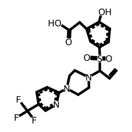 C=CC(N1CCN(c2ccc(C(F)(F)F)cn2)CC1)S(=O)(=O)c1ccc(O)c(CC(=O)O)c1